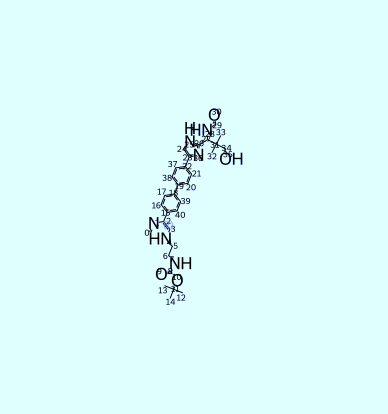 C=N/C(=C\NCCNC(=O)OC(C)(C)C)c1ccc(-c2ccc(-c3c[nH]c(C(NC=O)C(C)(C)CO)n3)cc2)cc1